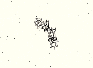 Cc1ccccc1S(=O)(=O)N1CCC(NC(=O)NC23CC4CCCC(C2)C(C4)C3)CC1